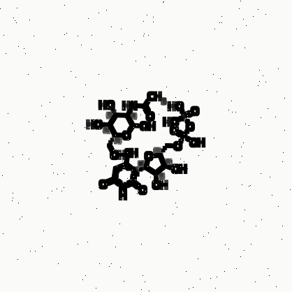 CC(=O)N[C@H]1C(O)O[C@H](CO)[C@@H](O)[C@@H]1O.O=c1cc(S)n([C@@H]2O[C@H](COP(=O)(O)OP(=O)(O)O)[C@@H](O)[C@H]2O)c(=O)[nH]1